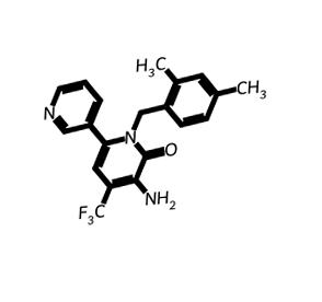 Cc1ccc(Cn2c(-c3cccnc3)cc(C(F)(F)F)c(N)c2=O)c(C)c1